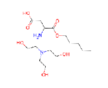 CCCCCOC(=O)C(N)CC(=O)O.OCCN(CCO)CCO